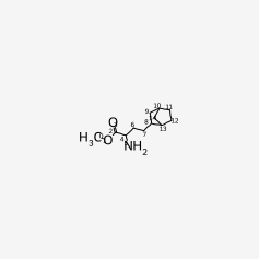 COC(=O)C(N)CCC1CC2CCC1C2